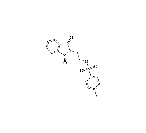 Cc1ccc(S(=O)(=O)OCCN2C(=O)c3ccccc3C2=O)cc1